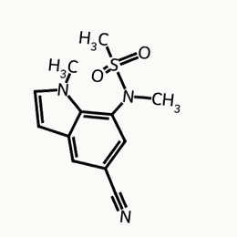 CN(c1cc(C#N)cc2ccn(C)c12)S(C)(=O)=O